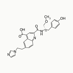 COC[C@H](Cc1ccc(O)cc1)NC(=O)c1cc(C(=O)O)c2cc(CCn3ccnc3)ccc2n1